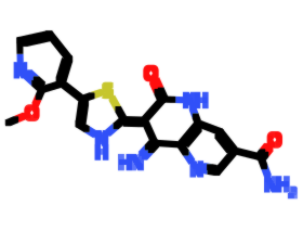 COc1ncccc1C1=CN/C(=C2\C(=N)c3ncc(C(N)=O)cc3NC2=O)S1